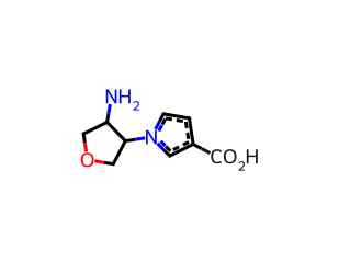 NC1COCC1n1ccc(C(=O)O)c1